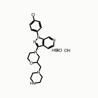 Cl.Cl.Cl.Clc1ccc(-n2nc(N3CCOC(CN4CCNCC4)C3)c3ccncc32)cc1